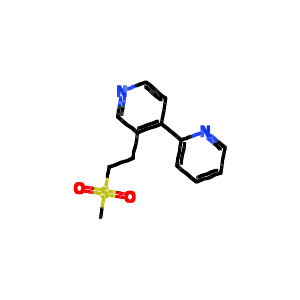 CS(=O)(=O)CCc1cnccc1-c1ccccn1